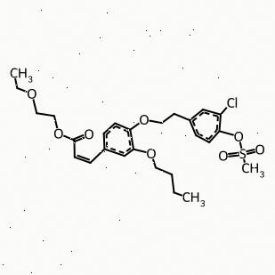 CCCCOc1cc(/C=C\C(=O)OCCOCC)ccc1OCCc1ccc(OS(C)(=O)=O)c(Cl)c1